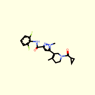 CC1=C(c2cc(C(=O)Nc3c(F)cccc3F)nn2C)CN(C(=O)C2CC2)CC1